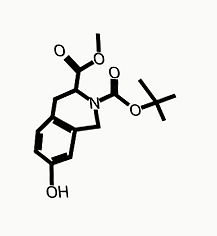 COC(=O)C1Cc2ccc(O)cc2CN1C(=O)OC(C)(C)C